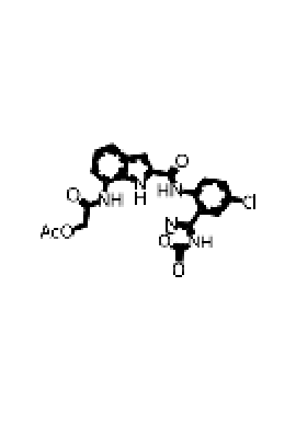 CC(=O)OCC(=O)Nc1cccc2cc(C(=O)Nc3ccc(Cl)cc3-c3noc(=O)[nH]3)[nH]c12